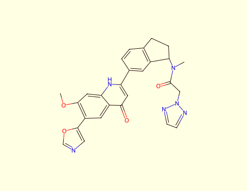 COc1cc2[nH]c(-c3ccc4c(c3)C(N(C)C(=O)Cn3nccn3)CC4)cc(=O)c2cc1-c1cnco1